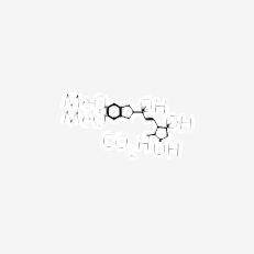 COc1cc2c(cc1OC)CC(C(O)C=CC1C(O)CC(O)C1CC(=O)O)C2